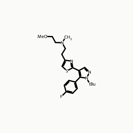 COCCN(C)CCc1csc(-c2cnn(C(C)(C)C)c2-c2ccc(F)cc2)n1